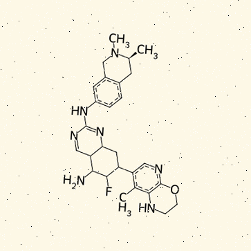 Cc1c(C2CC3N=C(Nc4ccc5c(c4)CN(C)[C@@H](C)C5)N=CC3C(N)C2F)cnc2c1NCCO2